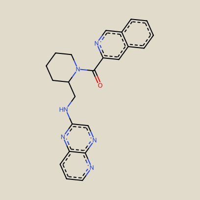 O=C(c1cc2ccccc2cn1)N1CCCCC1CNc1cnc2ncccc2n1